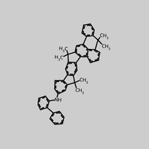 CC1(C)c2cc(Nc3ccccc3-c3ccccc3)ccc2-c2cc3c(cc21)-c1c(cc2c4c(cccc14)C(C)(C)c1ccccc1-2)C3(C)C